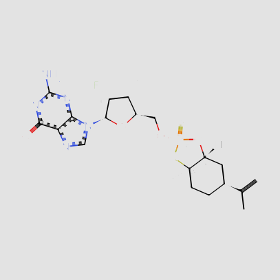 C=C(C)[C@H]1CC[C@@]2(C)S[P@](=S)(OC[C@H]3O[C@@H](n4cnc5c(=O)[nH]c(N)nc54)[C@H](F)[C@@H]3C)O[C@@H]2C1